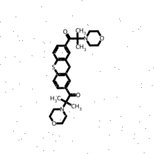 CC(C)(C(=O)c1ccc2c(c1)Cc1cc(C(=O)C(C)(C)N3CCOCC3)ccc1S2)N1CCOCC1